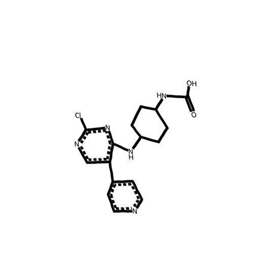 O=C(O)NC1CCC(Nc2nc(Cl)ncc2-c2ccncc2)CC1